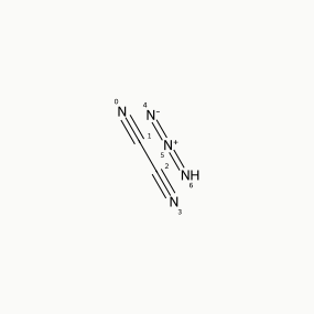 N#CC#N.[N-]=[N+]=N